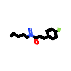 CCCCCNC(=O)C=Cc1ccc(F)cc1